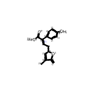 C=C1OC(C/C=C(/C(=O)OC)c2ccc(O)cc2)C=C1C